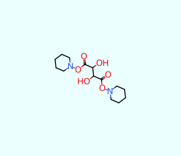 O=C(ON1CCCCC1)C(O)C(O)C(=O)ON1CCCCC1